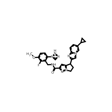 COc1ccc(-n2cn[nH]2)c(CNC(=O)c2cc3n(n2)CCC3c2cn3cc(C4CC4)ccc3n2)c1F